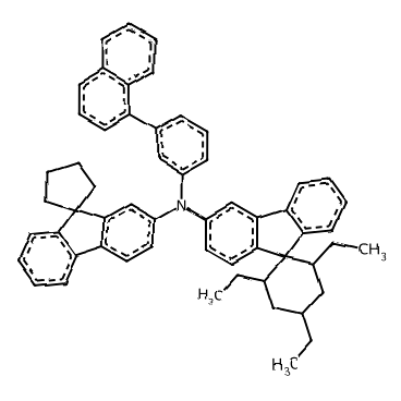 CCC1CC(CC)C2(c3ccccc3-c3cc(N(c4cccc(-c5cccc6ccccc56)c4)c4ccc5c(c4)C4(CCCC4)c4ccccc4-5)ccc32)C(CC)C1